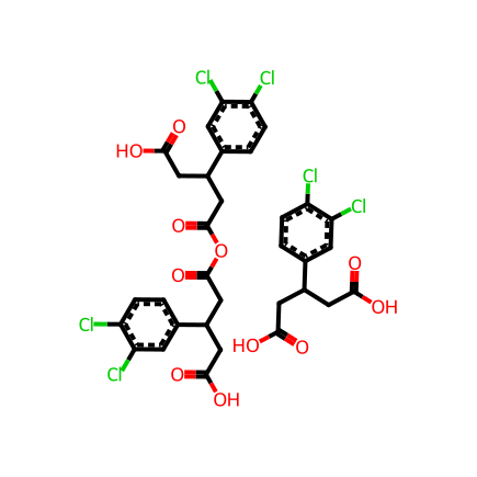 O=C(O)CC(CC(=O)O)c1ccc(Cl)c(Cl)c1.O=C(O)CC(CC(=O)OC(=O)CC(CC(=O)O)c1ccc(Cl)c(Cl)c1)c1ccc(Cl)c(Cl)c1